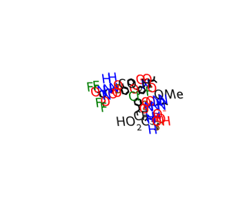 CC(C)=C1OC(=O)N(c2cc(OC3CCCC3)c(Cl)cc2F)C1=O.COc1nc(C)nc(NC(=O)NS(=O)(=O)c2ccccc2CCC(F)(F)F)n1.C[S+](C)C.O=C(Nc1nc(OC(F)F)cc(OC(F)F)n1)NS(=O)(=O)c1ccccc1C(=O)O.O=C(O)CNCP(=O)([O-])O